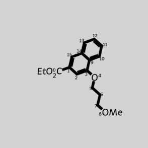 CCOC(=O)c1cc(OCCCOC)c2ccccc2c1